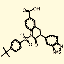 CC(C)(C)c1ccc(S(=O)(=O)NC(=O)C(Cc2cccc(C(=O)O)c2)c2ccc3nsnc3c2)cc1